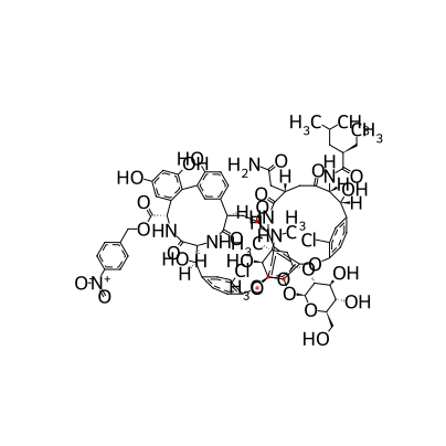 CC[C@H](CC(C)C)C(=O)N[C@H]1C(=O)C[C@@H](CC(N)=O)C(=O)N[C@H]2C(=O)C[C@H]3C(=O)N[C@H](C(=O)N[C@H](C(=O)OCc4ccc([N+](=O)[O-])cc4)c4cc(O)cc(O)c4-c4cc3ccc4O)[C@H](O)c3ccc(c(Cl)c3)Oc3cc2cc(c3O[C@@H]2O[C@H](CO)[C@@H](O)[C@H](O)[C@H]2O[C@H]2C[C@](C)(NC)[C@H](O)[C@H](C)O2)Oc2ccc(cc2Cl)[C@H]1O